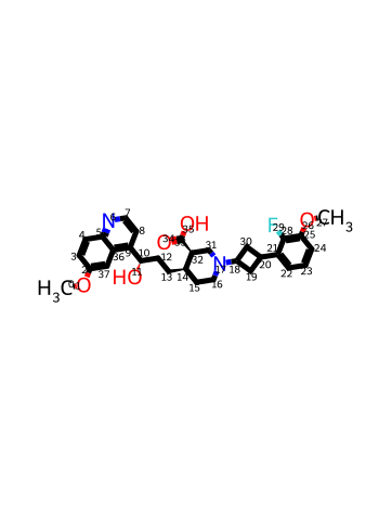 COc1ccc2nccc([C@@H](O)CC[C@@H]3CCN(C4CC(c5cccc(OC)c5F)C4)C[C@@H]3C(=O)O)c2c1